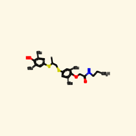 CC(CSc1cc(C(C)(C)C)c(OCC(=O)NCCC(=O)O)c(C(C)(C)C)c1)Sc1cc(C(C)(C)C)c(O)c(C(C)(C)C)c1